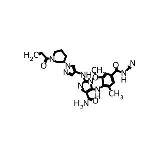 C=CC(=O)N1CCC[C@H](n2cc(Nc3ncc(C(N)=O)c(Nc4c(C)cc(C(=O)NC#N)cc4OC)n3)cn2)C1